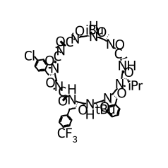 CC[C@H](C)[C@@H]1NC(=O)[C@H](C)N(C)C(=O)C[C@@H](C)NC(=O)[C@H](CC(C)C)N(C)C(=O)[C@H](Cc2ccccc2)N(C)C(=O)[C@H](C(C)(C)C)NC(=O)[C@H](CCc2ccc(C(F)(F)F)cc2)NC(=O)CN(C)C(=O)[C@H](Cc2ccc(Cl)cc2)N(C)C(=O)CN(C)C(=O)CN(C)C1=O